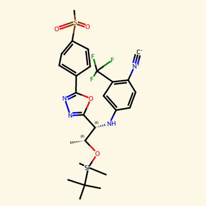 [C-]#[N+]c1ccc(N[C@@H](c2nnc(-c3ccc(S(C)(=O)=O)cc3)o2)[C@@H](C)O[Si](C)(C)C(C)(C)C)cc1C(F)(F)F